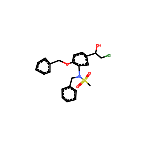 CS(=O)(=O)N(Cc1ccccc1)c1cc(C(O)CCl)ccc1OCc1ccccc1